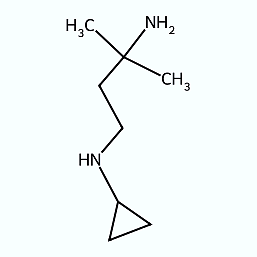 CC(C)(N)CCNC1CC1